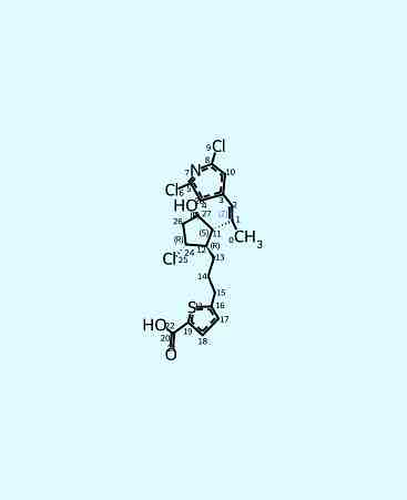 C/C(=C/c1cc(Cl)nc(Cl)c1)[C@@H]1[C@@H](CCCc2ccc(C(=O)O)s2)[C@H](Cl)C[C@H]1O